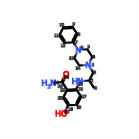 CC(CN1CCN(c2ccccc2)CC1)Nc1ccc(O)cc1C(N)=O